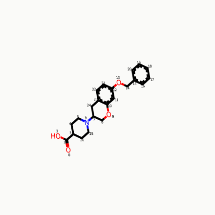 O=C(O)C1CCN(C2COc3cc(OCc4ccccc4)ccc3C2)CC1